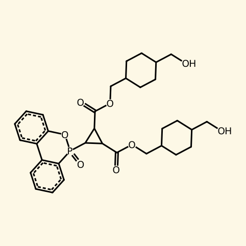 O=C(OCC1CCC(CO)CC1)C1C(C(=O)OCC2CCC(CO)CC2)C1P1(=O)Oc2ccccc2-c2ccccc21